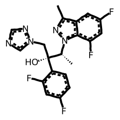 Cc1nn([C@H](C)[C@](O)(Cn2cncn2)c2ccc(F)cc2F)c2c(F)cc(F)cc12